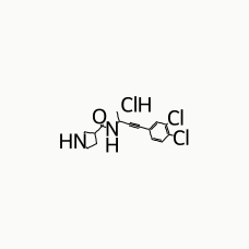 CC(C#Cc1ccc(Cl)c(Cl)c1)NC(=O)C1CCNC1.Cl